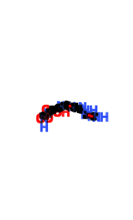 O=C1CCC(N2Cc3cc(C4(O)CCN(Cc5ccc(N6CCC(c7ccc(Nc8nccc(N9CCNCC9)n8)nc7)CC6)cc5)CC4)ccc3C2=O)C(=O)N1